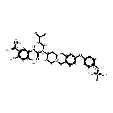 Cc1nc(Oc2ccc(NS(C)(=O)=O)cc2)ccc1CN1CCC(N(CCC(C)C)C(=O)Nc2cc(C(N)=O)c(F)cc2F)CC1